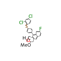 COC(=O)Cc1cc2ccc(F)cc2c(-c2ccc(Sc3ccc(Cl)cc3Cl)cc2)c1C